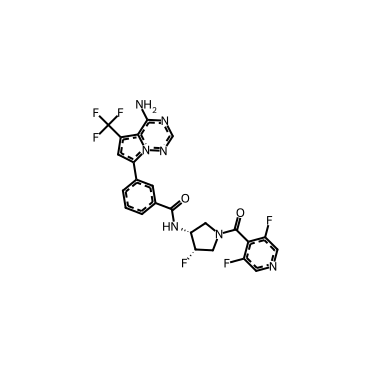 Nc1ncnn2c(-c3cccc(C(=O)N[C@@H]4CN(C(=O)c5c(F)cncc5F)C[C@@H]4F)c3)cc(C(F)(F)F)c12